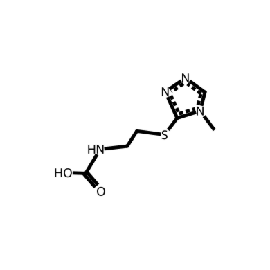 Cn1cnnc1SCCNC(=O)O